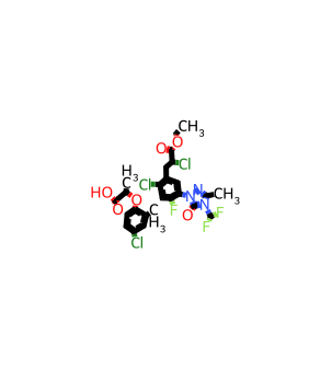 CCOC(=O)C(Cl)Cc1cc(-n2nc(C)n(C(F)F)c2=O)c(F)cc1Cl.Cc1cc(Cl)ccc1OC(C)C(=O)O